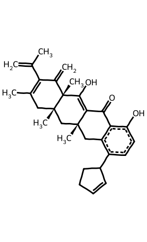 C=C(C)C1=C(C)C[C@@]2(C)C[C@@]3(C)Cc4c(C5C=CCC5)ccc(O)c4C(=O)C3=C(O)[C@@]2(C)C1=C